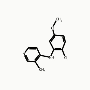 COc1ccc(Cl)c(Nc2ccncc2C)c1